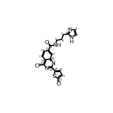 O=C(NCCCc1ncc[nH]1)c1ccc2c(Cl)nc(-c3ccc(Cl)s3)nc2c1